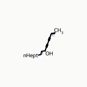 C/C=C/C#CC#CC(O)/C=C/CCCCCCC